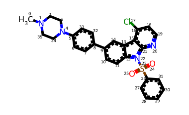 CN1CCN(c2ccc(-c3ccc4c(c3)c3c(Cl)ccnc3n4S(=O)(=O)c3ccccc3)cc2)CC1